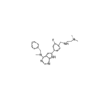 CN(C)CCNCc1ccc(-c2cc3c(N(C)Cc4ccccc4)ncnc3[nH]2)cc1F